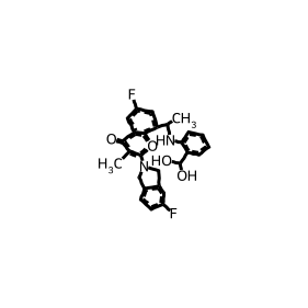 Cc1c(N2Cc3ccc(F)cc3C2)oc2c(C(C)Nc3ccccc3C(O)O)cc(F)cc2c1=O